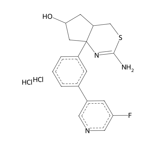 Cl.Cl.NC1=NC2(c3cccc(-c4cncc(F)c4)c3)CC(O)CC2CS1